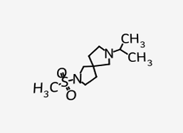 CC(C)N1CCC2(CCN(S(C)(=O)=O)C2)C1